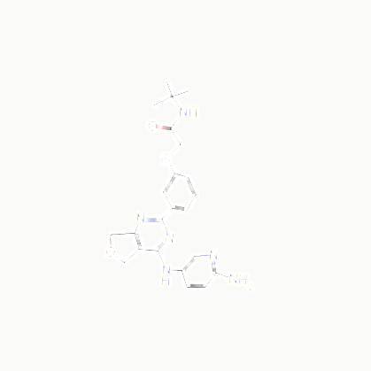 CC(C)(C)NC(=O)COc1cccc(-c2nc3c(c(Nc4ccc(N)nc4)n2)COC3)c1